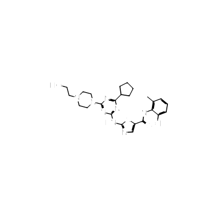 Cc1cccc(Cl)c1NC(=O)c1cnc(Nc2nc(C3CCCC3)nc(N3CCN(CCO)CC3)n2)s1